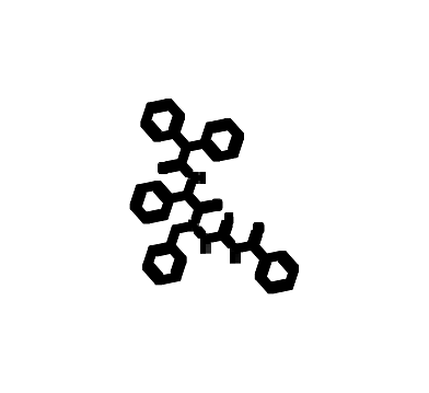 O=C(NC(=S)NN(Cc1ccccc1)C(=O)C(NC(=O)C(c1ccccc1)c1ccccc1)c1ccccc1)c1ccccc1